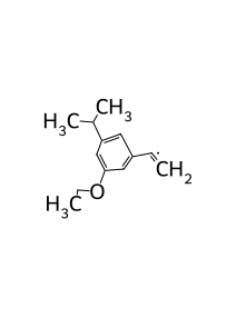 C=[C]c1cc(OCC)cc(C(C)C)c1